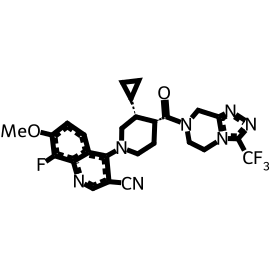 COc1ccc2c(N3CC[C@@H](C(=O)N4CCn5c(nnc5C(F)(F)F)C4)[C@@H](C4CC4)C3)c(C#N)cnc2c1F